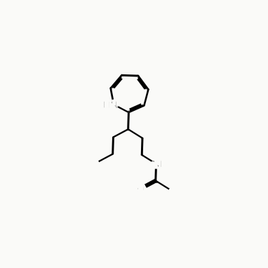 CCCC(CCNC(C)=O)C1=CC=CC=CN1